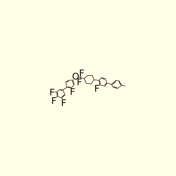 Cc1ccc(-c2ccc(C3CCC(C(F)(F)Oc4ccc(-c5cc(F)c(F)c(F)c5)c(F)c4)CC3)c(F)c2)cc1